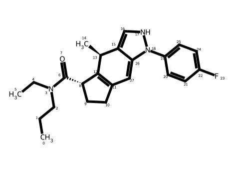 CCCN(CC)C(=O)[C@H]1CCC2=C1[C@@H](C)C1=CNN(c3ccc(F)cc3)C1=C2